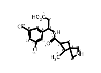 CC1C(C(=O)NC(CC(=O)O)c2cc(Cl)cc(Cl)c2)CC12CNC2